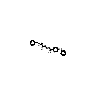 O=C(CCCC(=O)c1ccc(Oc2ccccc2)cc1)C(=O)OCc1ccccc1